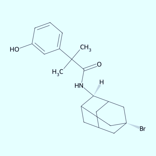 CC(C)(C(=O)N[C@H]1C2CC3CC1C[C@](Br)(C3)C2)c1cccc(O)c1